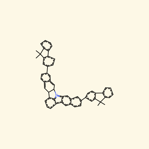 CC1(C)c2ccccc2-c2ccc(-c3ccc4c(c3)=CC3C(C=4)c4cccc5c6cc7ccc(-c8ccc9c(c8)C(C)(C)c8ccccc8-9)cc7cc6n3c45)cc21